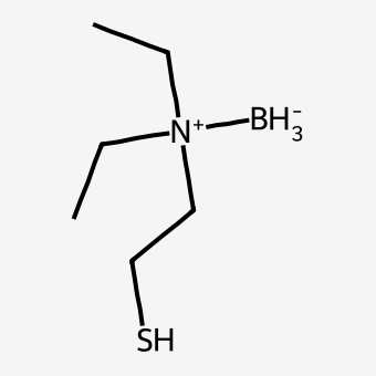 [BH3-][N+](CC)(CC)CCS